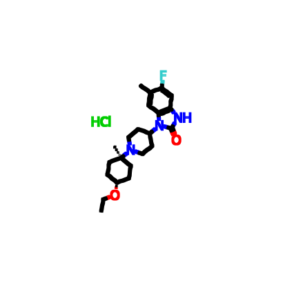 CCO[C@H]1CC[C@](C)(N2CCC(n3c(=O)[nH]c4cc(F)c(C)cc43)CC2)CC1.Cl